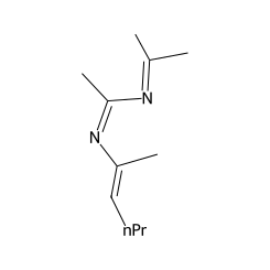 CCC/C=C(C)/N=C(/C)N=C(C)C